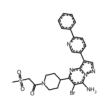 CS(=O)(=O)CC(=O)N1CCC(c2nc3c(-c4ccc(-c5ccccc5)nc4)cnn3c(N)c2Br)CC1